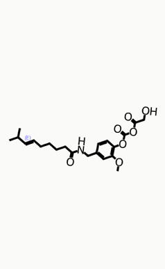 COc1cc(CNC(=O)CCCC/C=C/C(C)C)ccc1OC(=O)OC(=O)CO